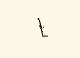 CCCCC=CCCCCCC(=O)OCCCCCC1CC1